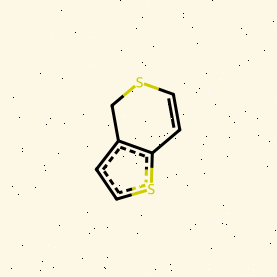 C1=Cc2sccc2CS1